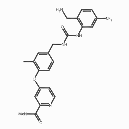 CNC(=O)c1cc(Oc2ccc(CNC(=O)Nc3cc(C(F)(F)F)ccc3CN)cc2C)ccn1